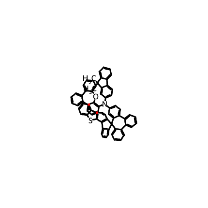 CC1(C)c2ccccc2-c2ccc(N(c3ccc4c(c3)C3(c5ccccc5-c5ccccc5-4)c4ccccc4-c4c3ccc3c4sc4ccccc43)c3cccc4c3Oc3ccccc3-c3ccccc3-4)cc21